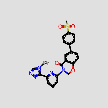 CC(C)n1cnnc1-c1cccc(N2COc3ccc(-c4ccc(S(C)(=O)=O)cc4)cc3C2=O)n1